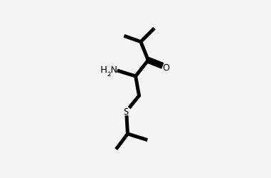 CC(C)SCC(N)C(=O)C(C)C